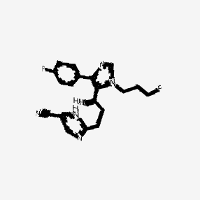 N#Cc1cnc(/C=C\C(=N)c2c(-c3ccc(F)cc3)ncn2CCCF)[nH]1